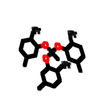 CC1CCC(C(C)C)C(O[Si](C)(OC2CC(C)CCC2C(C)C)OC2CC(C)CCC2C(C)C)C1